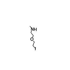 CNCCOCCI